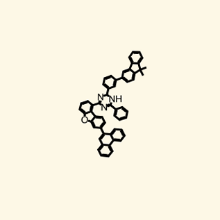 CC1(C)c2ccccc2-c2cc(-c3cccc(C4N=C(c5cccc6oc7cc(-c8cc9ccccc9c9ccccc89)ccc7c56)N=C(c5ccccc5)N4)c3)ccc21